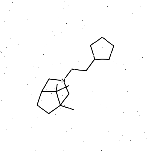 CC12CCC(CN(CCC3CCCC3)C1)C2(C)C